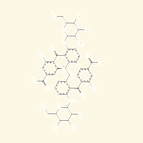 O=C(O)c1cc(O)c2c(c1)[C@@H]([C@H]1c3cc(C(=O)O)cc(O)c3C(=O)c3c(OC4OC(CO)C(O)C(O)C4O)cccc31)c1cccc(OC3OC(CO)C(O)C(O)C3O)c1C2=O